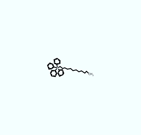 CCCCCCCCCCCCP(c1ccccc1)(c1ccccc1)(c1ccccc1)c1ccccc1